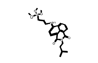 CO[Si](CCCNc1ccc2c3c(cccc13)C(=O)N(CCC(C)C)C2=O)(OC)OC